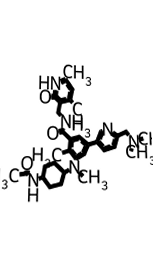 CC(=O)NC1CCC(N(C)c2cc(-c3ccc(CN(C)C)nc3)cc(C(=O)NCc3c(C)cc(C)[nH]c3=O)c2C)CC1